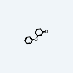 O=C1C=C(Oc2ccccc2)CCC1